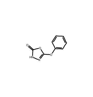 O=c1[nH]nc(Oc2ccccc2)o1